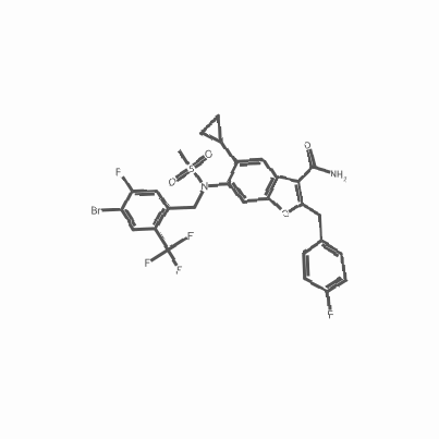 CS(=O)(=O)N(Cc1cc(F)c(Br)cc1C(F)(F)F)c1cc2oc(Cc3ccc(F)cc3)c(C(N)=O)c2cc1C1CC1